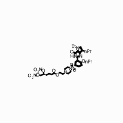 CCCOc1ccc(S(=O)(=O)N2CCN(CCOC(=O)CCC[C@@H](CO[N+](=O)[O-])O[N+](=O)[O-])CC2)cc1-c1nc2c(CCC)cn(CC)c2c(=O)[nH]1